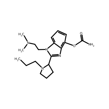 CCCN1CCCC1c1nc2c(OC(N)=O)cccc2n1CCN(C)C